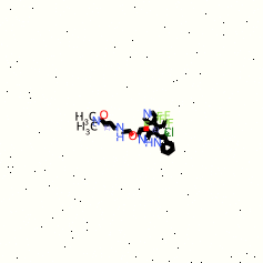 CN(C)C(=O)/C=C/CNCCOc1ccc(/C(=C(/CC(F)(F)F)c2c(F)cncc2F)c2[nH]c3ccccc3c2Cl)cn1